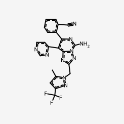 Cc1cc(C(F)(F)F)nn1Cc1nc2c(-c3ccncn3)c(-c3ccccc3C#N)nc(N)n2n1